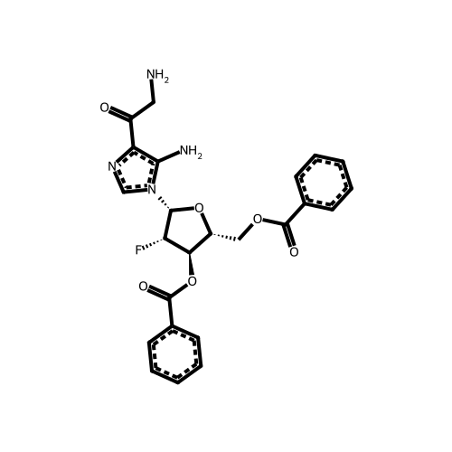 NCC(=O)c1ncn([C@@H]2O[C@H](COC(=O)c3ccccc3)[C@@H](OC(=O)c3ccccc3)[C@@H]2F)c1N